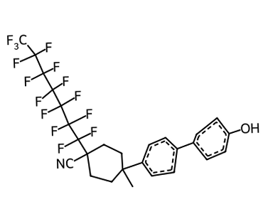 CC1(c2ccc(-c3ccc(O)cc3)cc2)CCC(C#N)(C(F)(F)C(F)(F)C(F)(F)C(F)(F)C(F)(F)C(F)(F)C(F)(F)F)CC1